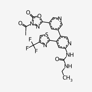 CCNC(=O)Nc1cc(-c2nc(C(F)(F)F)cs2)c(-c2cncc(-c3nn(C(=O)I)c(=O)o3)c2)cn1